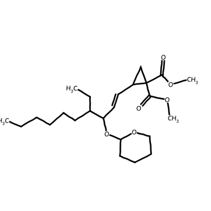 CCCCCCC(CC)C(C=CC1CC1(C(=O)OC)C(=O)OC)OC1CCCCO1